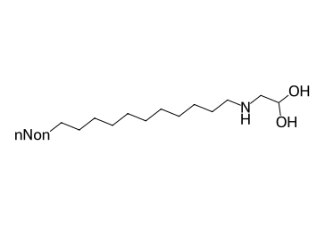 CCCCCCCCCCCCCCCCCCCCNCC(O)O